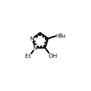 CCCCc1cnn(CC)c1O